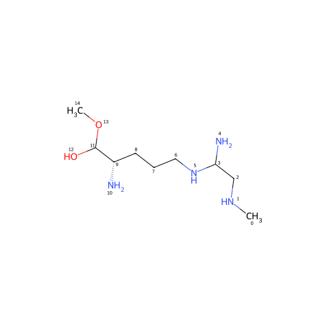 CNCC(N)NCCC[C@H](N)C(O)OC